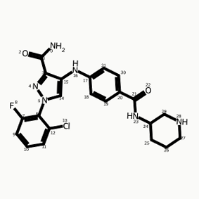 NC(=O)c1nn(-c2c(F)cccc2Cl)cc1Nc1ccc(C(=O)NC2CCCNC2)cc1